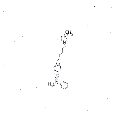 CN(/N=C/c1cc[n+](CCCCCCn2cc[n+](C)c2)cc1)c1ccccc1